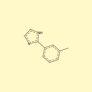 Cc1cccc(-c2n[c]c[nH]2)c1